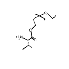 CCOC(C)(C)CCOC(=O)C(N)C(C)C